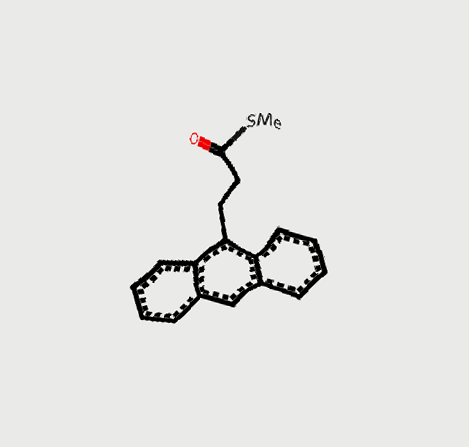 CSC(=O)CCc1c2ccccc2cc2ccccc12